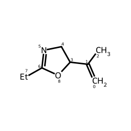 C=C(C)C1CN=C(CC)O1